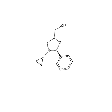 OCC1CN(C2CC2)[C@H](c2ccccc2)O1